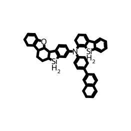 C1=CC2=C(CC1)C1CCC3[SiH2]c4cc(N(C5=CC=C(c6ccc7c(c6)CCC=C7)CC5)C5=C6[SiH2]c7ccccc7C6=CCC5)ccc4C3C1O2